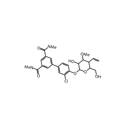 C=CC1C(CO)OC(Oc2ccc(-c3cc(C(=O)NC)cc(C(=O)NC)c3)cc2Cl)C(O)C1OC